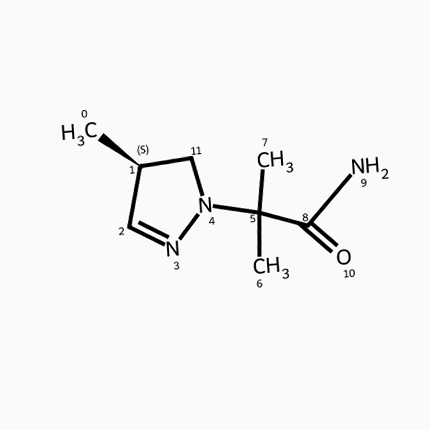 C[C@@H]1C=NN(C(C)(C)C(N)=O)C1